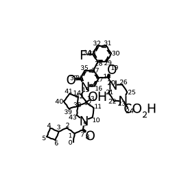 CC(CC1CCC1)C(=O)N1CCC(O)(Cn2cc(C(=O)N3CCN(C(=O)O)CC3)c(-c3ccccc3F)cc2=O)C2(CCCC2)C1